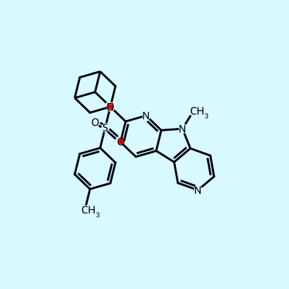 Cc1ccc(S(=O)(=O)OC2C3CC2CN(c2ccc4c5cnccc5n(C)c4n2)C3)cc1